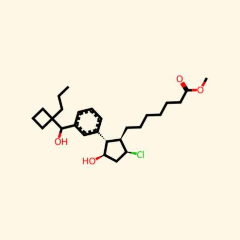 CCCC1(C(O)c2cccc([C@@H]3[C@@H](CCCCCCC(=O)OC)[C@@H](Cl)C[C@H]3O)c2)CCC1